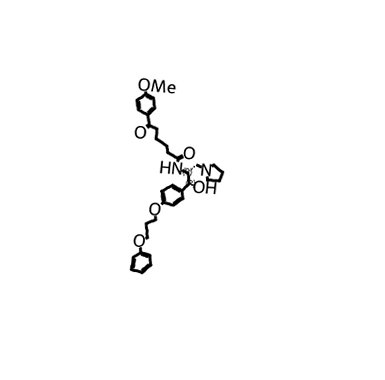 COc1ccc(C(=O)CCCCC(=O)N[C@H](CN2CCCC2)[C@H](O)c2ccc(OCCCOc3ccccc3)cc2)cc1